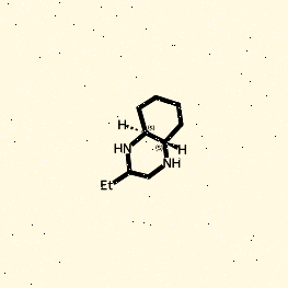 CCC1CN[C@H]2CCCC[C@@H]2N1